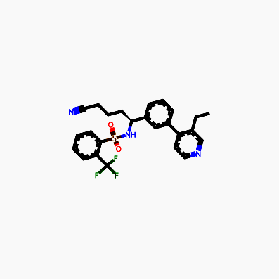 CCc1cnccc1-c1cccc([C@H](CCCC#N)NS(=O)(=O)c2ccccc2C(F)(F)F)c1